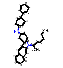 C=C/C=C\C=C(/C)n1c2ccc(Nc3ccc(-c4ccccc4)cc3)cc2c2cc3ccccc3cc21